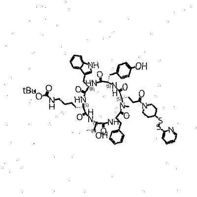 C[C@@H](O)[C@@H]1NC(=O)[C@H](CCCCNC(=O)OC(C)(C)C)NC(=O)[C@@H](Cc2c[nH]c3ccccc23)NC(=O)[C@H](Cc2ccc(O)cc2)NC(=O)[C@H](CCC(=O)N2CCC(SSc3ccccn3)CC2)N(C)C(=O)C(Cc2ccccc2)NC1=O